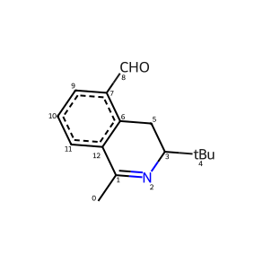 CC1=NC(C(C)(C)C)Cc2c(C=O)cccc21